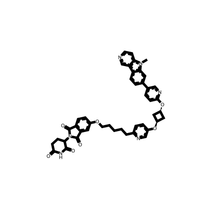 Cn1c2ccncc2c2ccc(-c3ccc(O[C@H]4C[C@H](Oc5ccc(CCCCCOc6ccc7c(c6)C(=O)N(C6CCC(=O)NC6=O)C7=O)nc5)C4)nc3)cc21